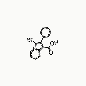 O=C(O)c1c(-c2ccccc2)c(Br)n2ccccc12